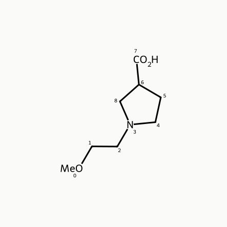 COCCN1CCC(C(=O)O)C1